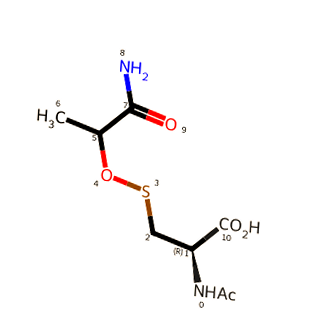 CC(=O)N[C@@H](CSOC(C)C(N)=O)C(=O)O